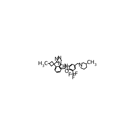 CC1CC(c2cccc(-c3nc4cc(CN5CCC[C@H](C)C5)cc(C(F)(F)F)c4o3)c2)(c2nncn2C)C1